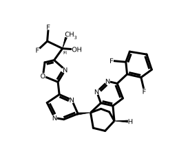 C[C@@](O)(c1coc(-c2cncc([C@]34CC[C@H](CC3)c3cc(-c5c(F)cccc5F)nnc34)n2)n1)C(F)F